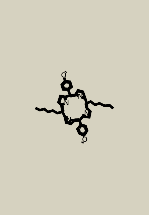 CCCCCCC1=C2C=CC(=N2)C(c2ccc(OC)cc2)=C2C=CC(=N2)C(CCCCCC)=C2C=CC(=N2)C(c2ccc(OC)cc2)=C2C=CC1=N2